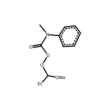 CCC(OC)OOC(=O)N(C)c1ccccc1